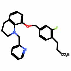 O=C(O)CCc1ccc(COc2cccc3c2N(Cc2ccccn2)CCC3)cc1F